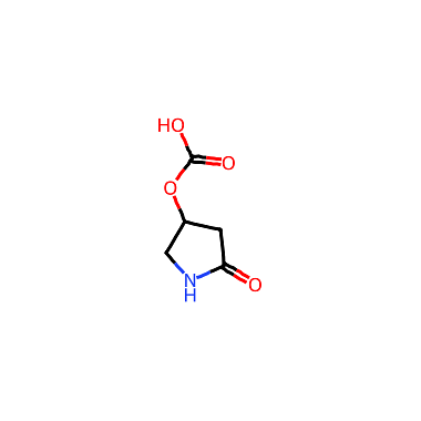 O=C1CC(OC(=O)O)CN1